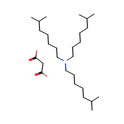 CC(C)CCCCCN(CCCCCC(C)C)CCCCCC(C)C.O=C(O)CC(=O)O